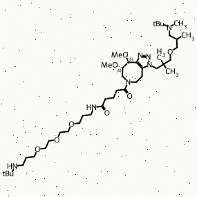 CO[C@H]1CN(C(=O)CCCC(=O)NCCCOCCOCCOCCCNC(C)(C)C)CCc2c(nnn2CC(C)(C)COCC(C)CN(C)C(C)(C)C)[C@@H]1OC